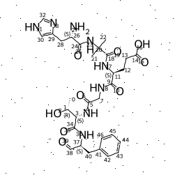 C[C@@H](O)[C@H](NC(=O)CNC(=O)[C@H](CCC(=O)O)NC(=O)C(C)(C)NC(=O)[C@@H](N)Cc1c[nH]cn1)C(=O)N[C@H]([C]=O)Cc1ccccc1